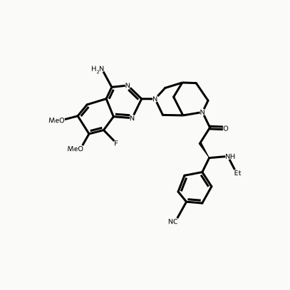 CCN[C@H](CC(=O)N1CCC2CC1CN(c1nc(N)c3cc(OC)c(OC)c(F)c3n1)C2)c1ccc(C#N)cc1